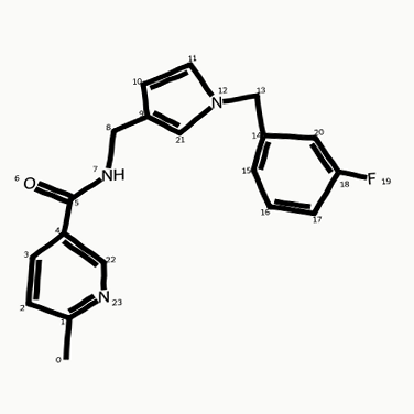 Cc1ccc(C(=O)NCc2ccn(Cc3cccc(F)c3)c2)cn1